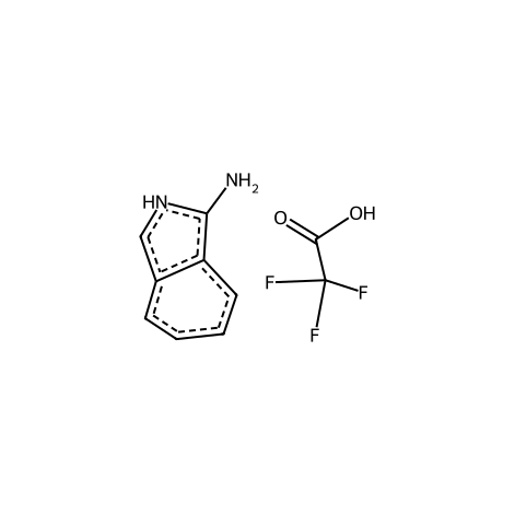 Nc1[nH]cc2ccccc12.O=C(O)C(F)(F)F